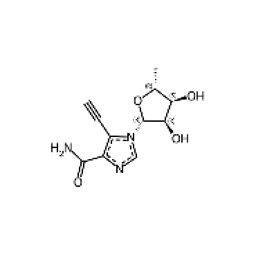 C#Cc1c(C(N)=O)ncn1[C@@H]1O[C@H](C)[C@@H](O)[C@H]1O